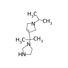 CC(C)N1CC=C(C(C)(C)N2CCNC2)C1